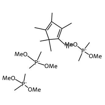 CC1=C(C)C(C)(C)[C]([Ti+3])=C1C.CO[P-](C)(C)OC.CO[P-](C)(C)OC.CO[P-](C)(C)OC